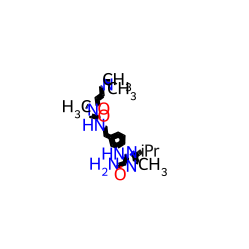 Cc1nc(C(N)=O)c(Nc2cccc(CCNC(=O)CN(C)C(=O)/C=C/CN(C)C)c2)nc1C(C)C